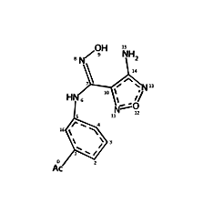 CC(=O)c1cccc(N/C(=N/O)c2nonc2N)c1